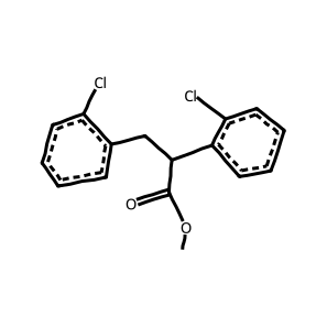 COC(=O)C(Cc1ccccc1Cl)c1ccccc1Cl